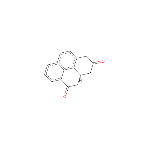 O=C1Cc2ccc3cccc4c3c2[C@@H](C1)CC4=O